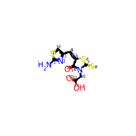 Nc1nc(/C=C2/SC(=S)N(CC(=O)O)C2=O)cs1